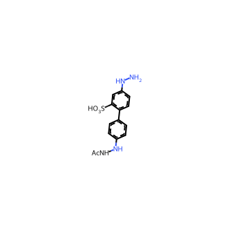 CC(=O)NNc1ccc(-c2ccc(NN)cc2S(=O)(=O)O)cc1